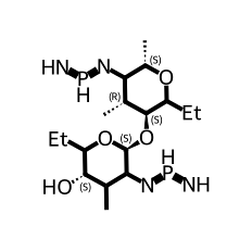 CCC1O[C@@H](O[C@@H]2C(CC)O[C@@H](C)C(N=[PH]=N)[C@H]2C)C(N=[PH]=N)C(C)[C@@H]1O